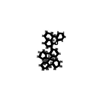 c1ccc2c(c1)Oc1c(-c3cccc4c3-c3ccccc3C43c4ccccc4-c4ccccc43)ccc3cccc-2c13